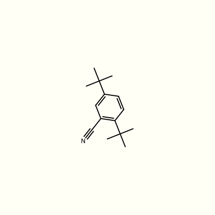 CC(C)(C)c1ccc(C(C)(C)C)c(C#N)c1